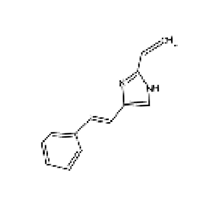 C=Cc1nc(C=Cc2ccccc2)c[nH]1